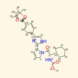 COC(=O)N[C@H](C(=O)N1CC=CC1c1nc(-c2ccc(B3OC(C)(C)C(C)(C)O3)cc2)c[nH]1)C1CCCCC1